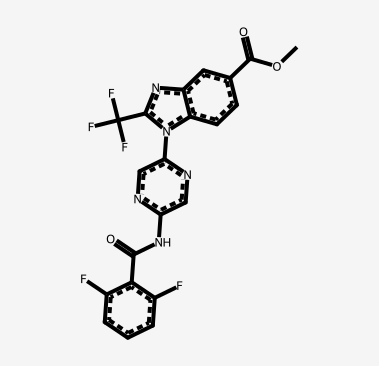 COC(=O)c1ccc2c(c1)nc(C(F)(F)F)n2-c1cnc(NC(=O)c2c(F)cccc2F)cn1